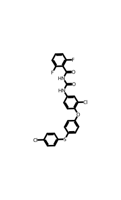 O=C(NC(=O)c1c(F)cccc1F)Nc1ccc(Oc2ccc(Sc3ccc(Cl)cc3)cc2)c(Cl)c1